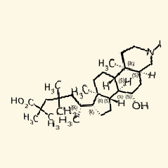 C[C@H](CC(C)(C)CC(C)(C)C(=O)O)[C@H]1CC[C@H]2[C@@H]3[C@@H](O)C[C@@H]4CN(I)CC[C@]4(C)[C@H]3CC[C@]12C